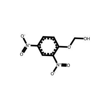 O=[N+]([O-])c1ccc(OCO)c([N+](=O)[O-])c1